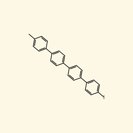 Cc1ccc(-c2ccc(-c3ccc(-c4ccc(I)cc4)cc3)cc2)cc1